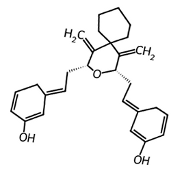 C=C1[C@H](C/C=C2/C=C(O)C=CC2)O[C@H](C/C=C2/C=C(O)C=CC2)C(=C)C12CCCCC2